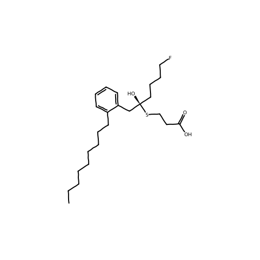 CCCCCCCCCc1ccccc1C[C@](O)(CCCCF)SCCC(=O)O